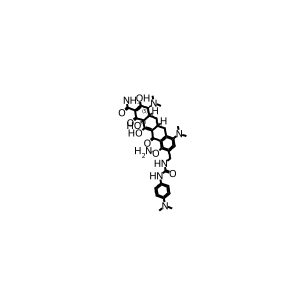 CN(C)c1ccc(NC(=O)NCc2cc(N(C)C)c3c(c2ON)C(=O)C2=C(O)[C@]4(O)C(=O)C(C(N)=O)=C(O)[C@@H](N(C)C)[C@@H]4C[C@@H]2C3)cc1